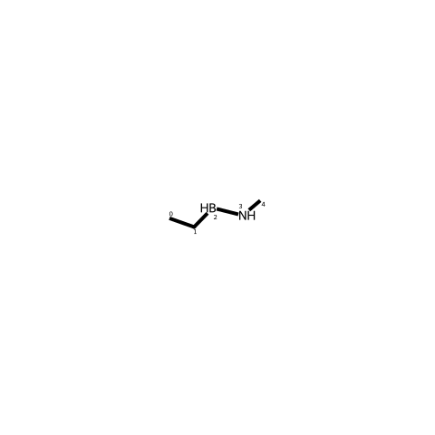 CCBNC